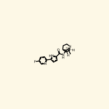 C[C@H]1[C@H](NC(=O)c2ccc(-c3ccc(F)cn3)[nH]2)C2CCN1CC2